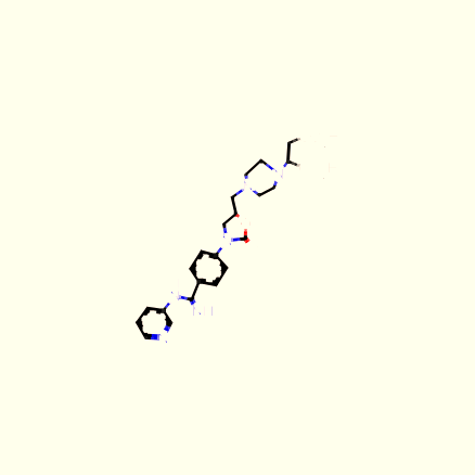 N=C(Nc1cccnc1)c1ccc(N2CC(CN3CCN(C(CC(=O)O)C(=O)O)CC3)OC2=O)cc1